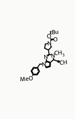 C#CC1c2ccn(Cc3ccc(OC)cc3)c2N=C(C2CCN(C(=O)OC(C)(C)C)C2)N1C